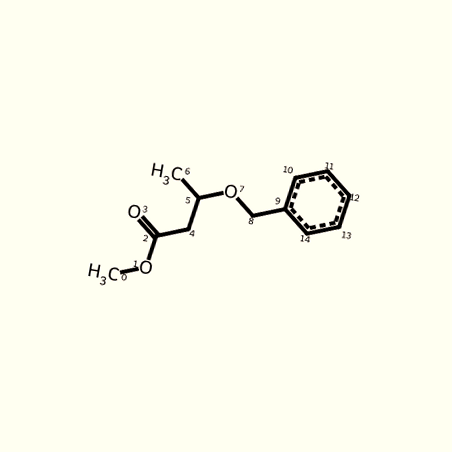 COC(=O)CC(C)OCc1ccccc1